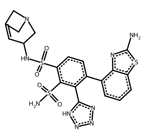 Nc1nc2c(-c3ccc(S(=O)(=O)NC4C=C5CN(C5)C4)c(S(N)(=O)=O)c3-c3nnn[nH]3)cccc2s1